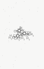 Cc1cc(C(C)(C)C)cc(C)c1-c1nc2cc(C(C)(C)C)ccc2n1-c1cc(Cl)cc(Br)c1Br